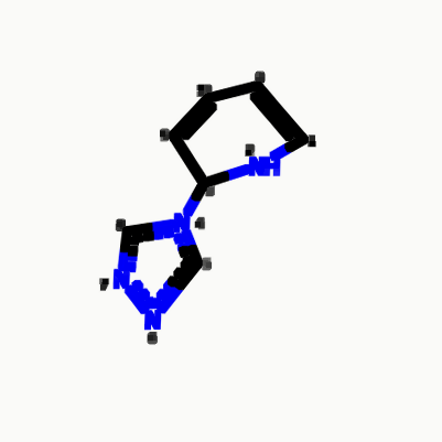 C1=CN[C](n2cnnc2)C=C1